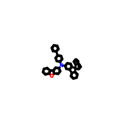 c1ccc(-c2ccc(N(c3ccc4c(c3)-c3ccccc3C43C4CC5CC(C4)C3C5)c3ccc4oc5ccccc5c4c3)cc2)cc1